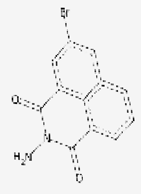 NN1C(=O)c2cccc3cc(Br)cc(c23)C1=O